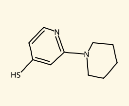 Sc1ccnc(N2CCCCC2)c1